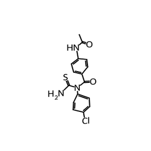 CC(=O)Nc1ccc(C(=O)N(C(N)=S)c2ccc(Cl)cc2)cc1